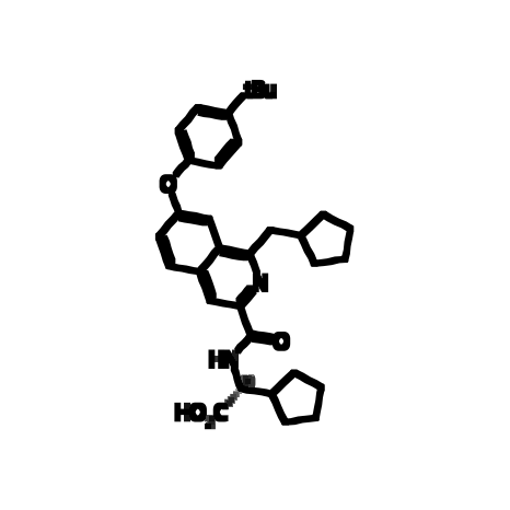 CC(C)(C)c1ccc(Oc2ccc3cc(C(=O)N[C@@H](C(=O)O)C4CCCC4)nc(CC4CCCC4)c3c2)cc1